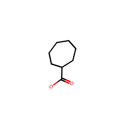 [O]C(=O)C1CCCCCC1